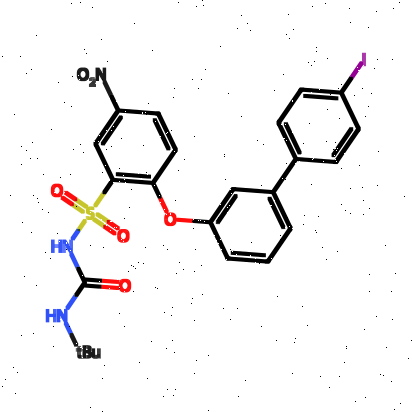 CC(C)(C)NC(=O)NS(=O)(=O)c1cc([N+](=O)[O-])ccc1Oc1cccc(-c2ccc(I)cc2)c1